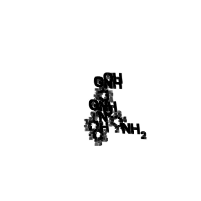 Nc1ccc(C(=O)N[C@H](Cc2ccc3ccccc3c2)C(=O)Nc2ccc(C(=O)NO)cc2)cc1